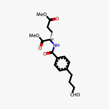 COC(=O)CC[C@H](NC(=O)c1ccc(CCCC=O)cc1)C(=O)OC